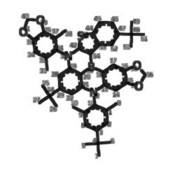 Cc1cc(C(C)(C)C)cc(C)c1N1c2cc3c(cc2B2c4c1cc(C(C)(C)C)cc4N(c1c(C)cc4c(c1C)OCO4)c1sc4ccc(C(C)(C)C)cc4c12)OCO3